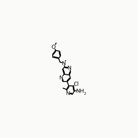 COc1ccc(CN(C)c2cc3ncc(-c4c(C)ncc(N)c4Cl)cc3cn2)cc1